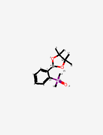 CC1(C)OB(c2ccccc2P(C)(C)=O)OC1(C)C